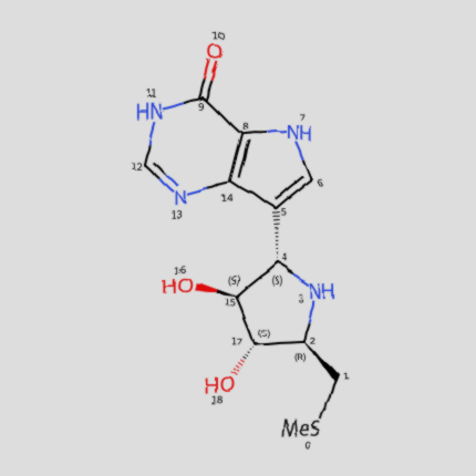 CSC[C@@H]1N[C@@H](c2c[nH]c3c(=O)[nH]cnc23)[C@H](O)[C@H]1O